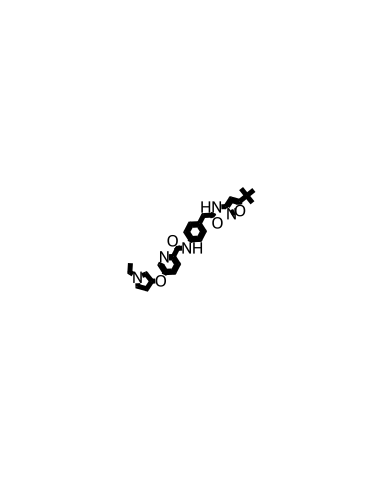 CCN1CCC(Oc2ccc(C(=O)Nc3ccc(CC(=O)Nc4cc(C(C)(C)C)on4)cc3)nc2)C1